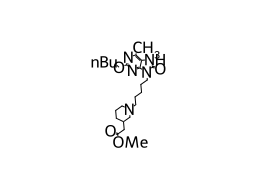 CCCCOc1nc(C)c2[nH]c(=O)n(CCCCCN3CCCC(CC(=O)OC)C3)c2n1